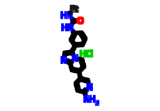 CCNC(=O)Nc1cccc(-c2cnc3cc(-c4ccc(N)nc4)ccn23)c1.Cl